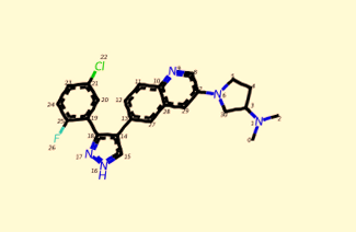 CN(C)C1CCN(c2cnc3ccc(-c4c[nH]nc4-c4cc(Cl)ccc4F)cc3c2)C1